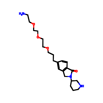 NCCOCCOCCOCCCc1ccc2c(c1)CN(C1CCCNC1)C2=O